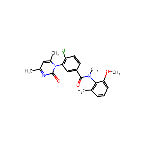 COc1cccc(C)c1N(C)C(=O)c1ccc(Cl)c(-n2c(C)cc(C)nc2=O)c1